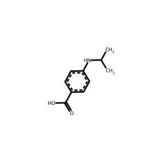 CC(C)Nc1ccc(C(=O)O)cc1